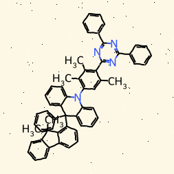 Cc1cc(N2c3ccccc3C(c3ccccc3)(c3cccc4c3C(C)(C)c3ccccc3-4)c3ccccc32)c(C)c(C)c1-c1nc(-c2ccccc2)nc(-c2ccccc2)n1